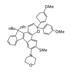 CCCCC1(CCC)c2ccccc2-c2c1c1c(c3cc(SC)c(N4CCOCC4)cc23)OC(C2=CC=C(OC)CC2)(c2ccc(OC)cc2)C=C1